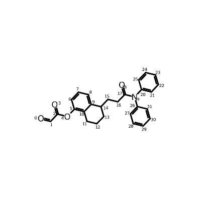 O=CC(=O)Oc1cccc2c1CCCC2CCC(=O)N(c1ccccc1)c1ccccc1